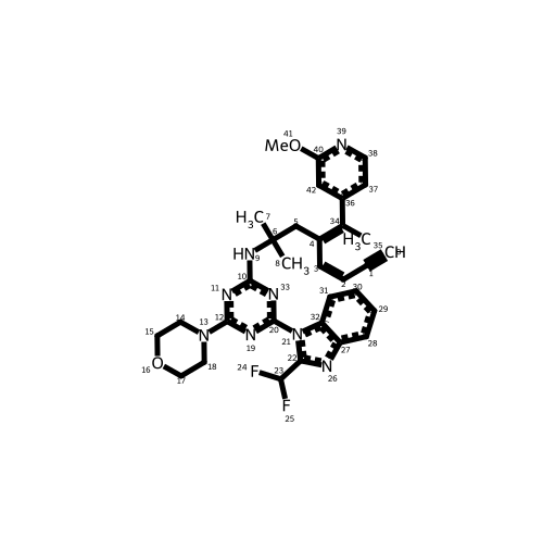 C#C/C=C\C(CC(C)(C)Nc1nc(N2CCOCC2)nc(-n2c(C(F)F)nc3ccccc32)n1)=C(/C)c1ccnc(OC)c1